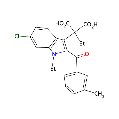 CCn1c(C(=O)c2cccc(C)c2)c(C(CC)(C(=O)O)C(=O)O)c2ccc(Cl)cc21